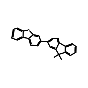 CC1(C)c2ccccc2-c2ccc(-c3ccc4c(c3)sc3ccccc34)cc21